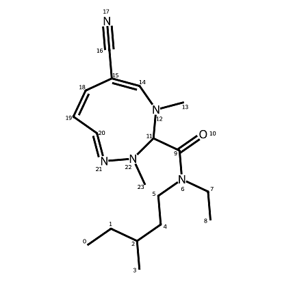 CCC(C)CCN(CC)C(=O)C1N(C)\C=C(C#N)/C=C\C=N\N1C